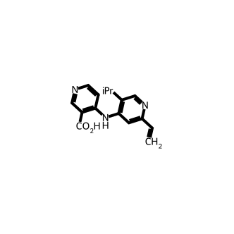 C=Cc1cc(Nc2ccncc2C(=O)O)c(C(C)C)cn1